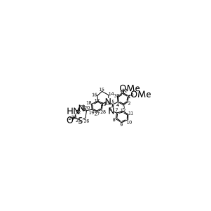 COc1ccc(C(=Nc2ccccc2)N2CCCc3cc(C4=NNC(=O)SC4)ccc32)cc1OC